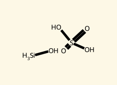 O=S(=O)(O)O.O[SiH3]